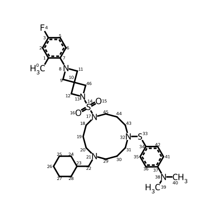 Cc1cc(F)ccc1N1CC2(C1)CN(S(=O)(=O)N1CCCN(CC3CCCCC3)CCCN(Sc3ccc(N(C)C)cc3)CCC1)C2